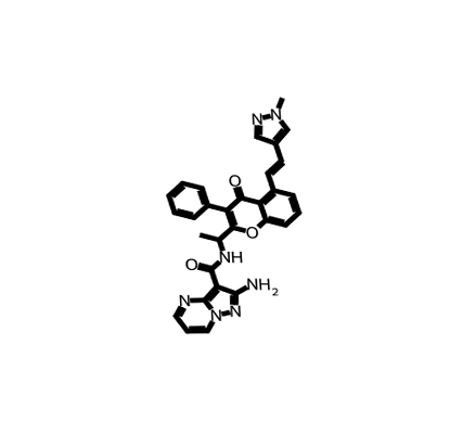 CC(NC(=O)c1c(N)nn2cccnc12)c1oc2cccc(/C=C/c3cnn(C)c3)c2c(=O)c1-c1ccccc1